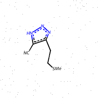 CSCCc1nn[nH]c1C#N